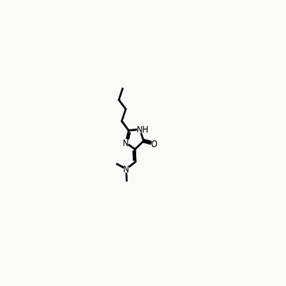 CCCCC1=NC(=CN(C)C)C(=O)N1